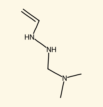 C=CNNCN(C)C